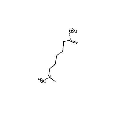 C=C(CCCCCN(C)C(C)(C)C)C(C)(C)C